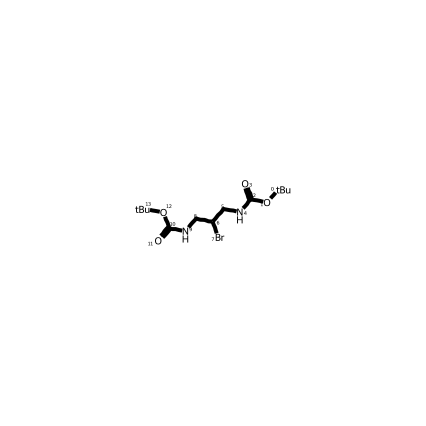 CC(C)(C)OC(=O)NCC(Br)CNC(=O)OC(C)(C)C